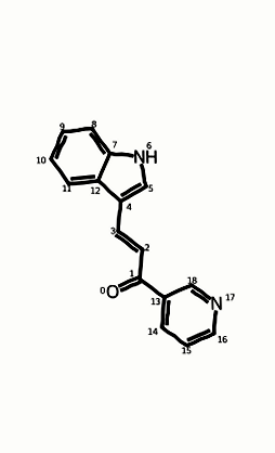 O=C(C=Cc1c[nH]c2ccccc12)c1cccnc1